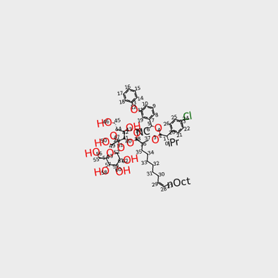 CC(C)C(C(=O)OC(C#N)c1cccc(Oc2ccccc2)c1)c1ccc(Cl)cc1.CCCCCCCC/C=C\CCCCCCC(C)C(=O)O[C@H]1[C@H](O)[C@@H](CO)O[C@@]1(CO)O[C@H]1O[C@H](CO)[C@@H](O)[C@H](O)[C@H]1O